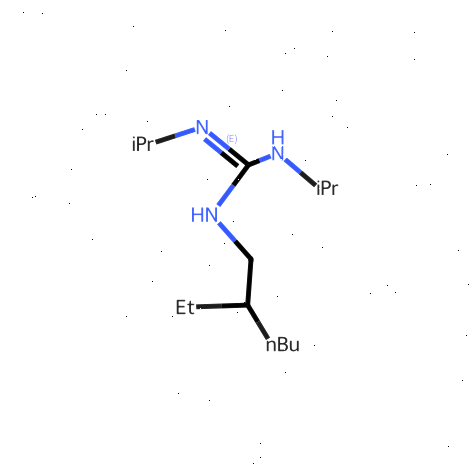 CCCCC(CC)CN/C(=N\C(C)C)NC(C)C